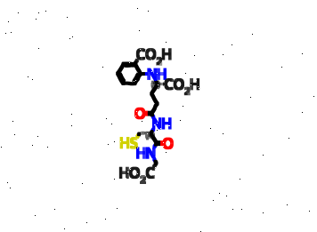 O=C(O)CNC(=O)[C@H](CS)NC(=O)CC[C@H](Nc1ccccc1C(=O)O)C(=O)O